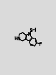 Fc1ccc2c3c(n(SI)c2c1)CCNC3